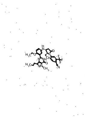 CCCc1nn(C)c2c(=O)[nH]c(-c3cc(N[C@@H]4CC(=O)N(c5ccc(C#N)c(C(F)(F)F)c5)[C@H]4CC)ccc3OCC)nc12